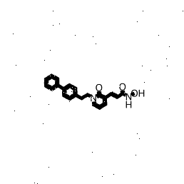 O=C(/C=C/c1cccn(CCc2ccc(-c3ccccc3)cc2)c1=O)NO